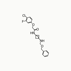 O=C(COc1ccc(Cl)c(F)c1)NC12CC(NCOCc3ccccc3)(C1)C2